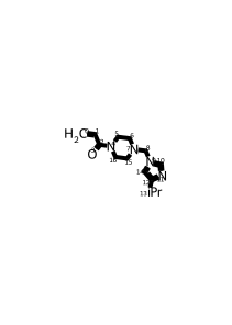 C=CC(=O)N1CCN(Cn2cnc(C(C)C)c2)CC1